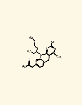 CC[C@@H](CCCO)Nc1nc(N)nc(C)c1Cc1ccc(CC(=O)O)cc1